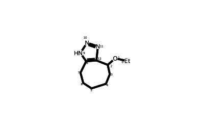 CCOC1CCCCCc2[nH]nnc21